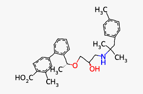 Cc1ccc(CC(C)(C)NC[C@@H](O)CO[C@H](C)c2ccccc2-c2ccc(C(=O)O)c(C)c2)cc1